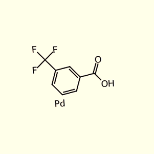 O=C(O)c1cccc(C(F)(F)F)c1.[Pd]